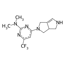 CN(C)c1nc(N2CC3=CNCC3C2)cc(C(F)(F)F)n1